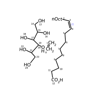 C=C.CCCCCCCC/C=C\CCCCCCCC(=O)O.OCC(O)C(O)C(O)C(O)CO